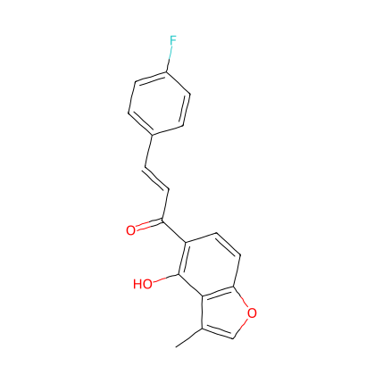 Cc1coc2ccc(C(=O)/C=C/c3ccc(F)cc3)c(O)c12